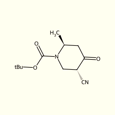 C[C@H]1CC(=O)[C@H](C#N)CN1C(=O)OC(C)(C)C